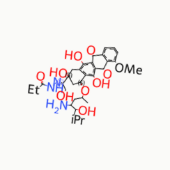 CCC(=O)N/N=C(\CO)[C@]1(O)Cc2c(O)c3c(c(O)c2[C@@H](OC(C)CC(N)C(O)C(C)C)C1)C(=O)c1c(OC)cccc1C3=O